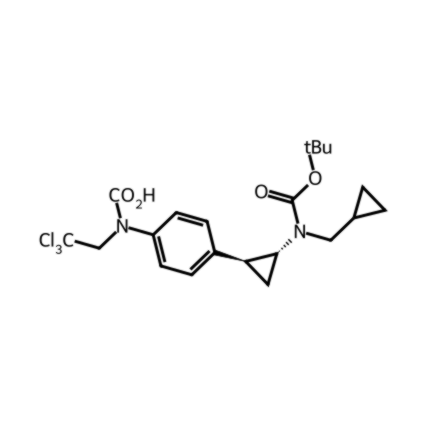 CC(C)(C)OC(=O)N(CC1CC1)[C@@H]1C[C@H]1c1ccc(N(CC(Cl)(Cl)Cl)C(=O)O)cc1